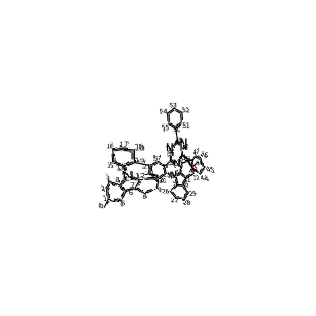 Cc1ccc2c(c1)c1ccccc1n2-c1ccccc1-c1ccc(-n2c3ccccc3c3cc(C)ccc32)c(-c2nc(-c3ccccc3)nc(-c3ccccc3)n2)c1